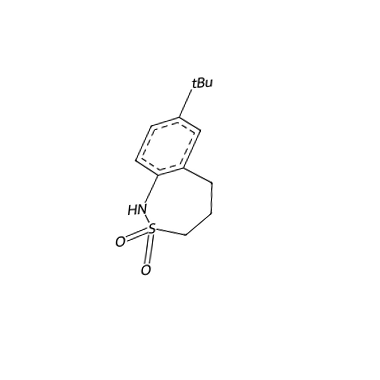 CC(C)(C)c1ccc2c(c1)CCCS(=O)(=O)N2